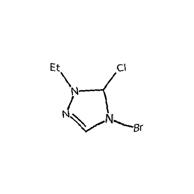 CCN1N=CN(Br)C1Cl